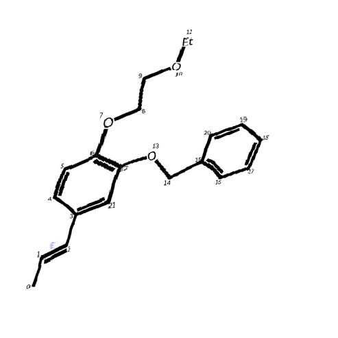 C/C=C/c1ccc(OCCOCC)c(OCc2ccccc2)c1